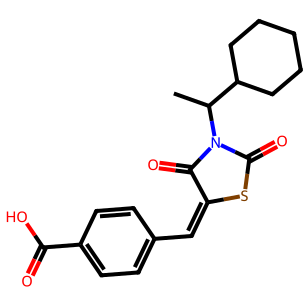 CC(C1CCCCC1)N1C(=O)SC(=Cc2ccc(C(=O)O)cc2)C1=O